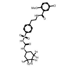 [2H]C1([2H])CC(NC(=O)NS(=O)(=O)c2ccc(CCNC(=O)c3cc(Cl)ccc3OC)cc2)CC([2H])([2H])C1([2H])[2H]